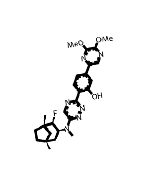 COc1ncc(-c2ccc(-c3ncc(N(C)[C@H]4C[C@]5(C)CC[C@@](C)(C5)[C@H]4F)nn3)c(O)c2)nc1OC